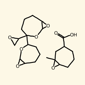 C1CC2OC2OC(C2(C3CO3)CCCC3OC3O2)C1.CC12CC(C(=O)O)CCCC1O2